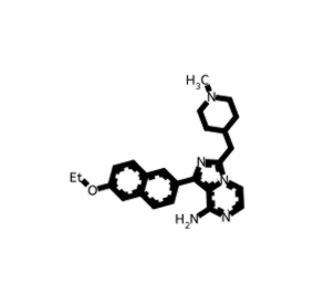 CCOc1ccc2cc(-c3nc(CC4CCN(C)CC4)n4ccnc(N)c34)ccc2c1